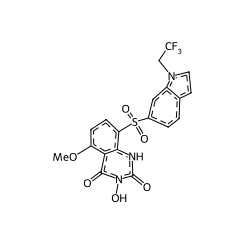 COc1ccc(S(=O)(=O)c2ccc3ccn(CC(F)(F)F)c3c2)c2[nH]c(=O)n(O)c(=O)c12